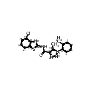 Cc1ccccc1-n1nnc(C(=O)Nc2nc3c(Cl)cccc3s2)c1C